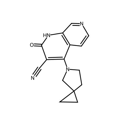 N#Cc1c(N2CCC3(CC3)C2)c2ccncc2[nH]c1=O